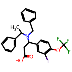 CC(c1ccccc1)N(Cc1ccccc1)C(CC(=O)O)c1ccc(OC(F)(F)F)c(I)c1